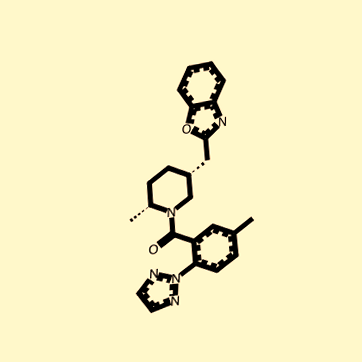 Cc1ccc(-n2nccn2)c(C(=O)N2C[C@@H](Cc3nc4ccccc4o3)CC[C@H]2C)c1